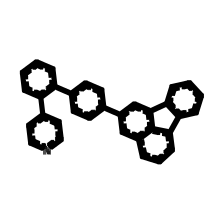 c1ccc(-c2ccc(-c3cc4c5c(cccc5c3)-c3ccccc3-4)cc2)c(-c2ccncc2)c1